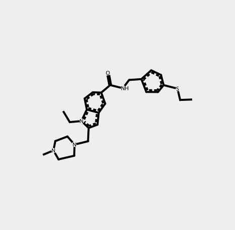 CCSc1ccc(CNC(=O)c2ccc3c(c2)cc(CN2CCN(C)CC2)n3CC)cc1